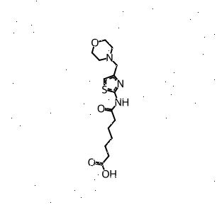 O=C(O)CCCCCC(=O)Nc1nc(CN2CCOCC2)cs1